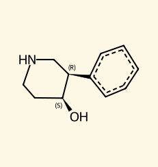 O[C@H]1CCNC[C@H]1c1ccccc1